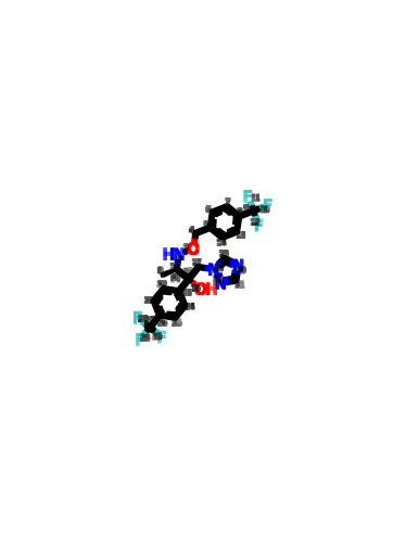 C[C@@H](NOCc1ccc(C(F)(F)F)cc1)[C@](O)(Cn1cncn1)c1ccc(C(F)(F)F)cc1